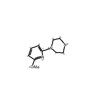 COc1cccc(N2CC[N]CC2)n1